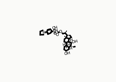 CC[C@H]1[C@@H](O)[C@@H]2[C@H](CC[C@]3(C)[C@@H]([C@H](C)COC(=O)NS(=O)(=O)c4ccc(N5CCCC5)cc4)CC[C@@H]23)[C@@]2(C)CC[C@@H](O)C[C@@H]12